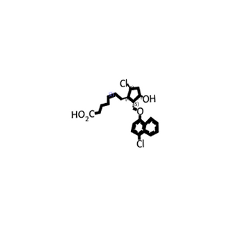 O=C(O)CCC/C=C\C[C@@H]1[C@@H](COc2ccc(Cl)c3ccccc23)[C@H](O)C[C@@H]1Cl